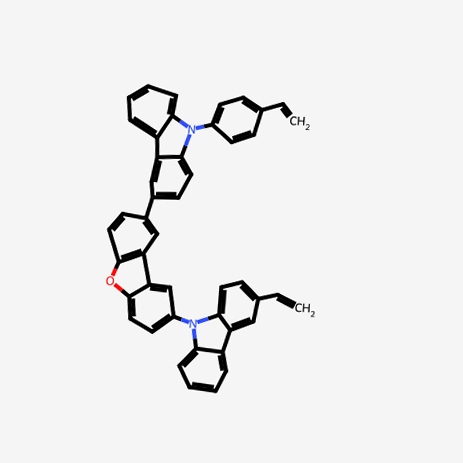 C=Cc1ccc(-n2c3ccccc3c3cc(-c4ccc5oc6ccc(-n7c8ccccc8c8cc(C=C)ccc87)cc6c5c4)ccc32)cc1